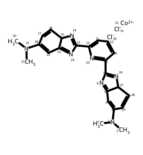 CN(C)C1=CC2=NC(c3cccc(C4=NC5C=CC(N(C)C)=CC5=N4)n3)=NC2C=C1.[Cl-].[Cl-].[Co+2]